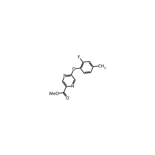 COC(=O)c1cnc(Oc2ccc(C)cc2F)cn1